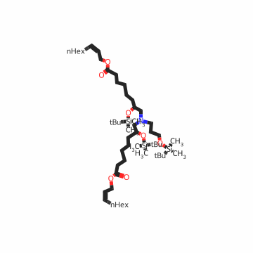 CCCCCC/C=C\COC(=O)CCCCCC(CN(CCCO[Si](C)(C)C(C)(C)C)CC(CCCCCC(=O)OC/C=C\CCCCCC)O[Si](C)(C)C(C)(C)C)O[Si](C)(C)C(C)(C)C